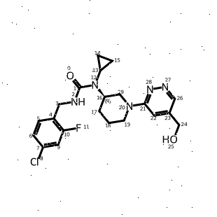 O=C(NCc1ccc(Cl)cc1F)N(C1CC1)[C@@H]1CCCN(c2cc(CO)cnn2)C1